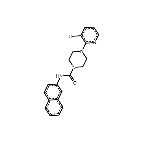 O=C(Nc1ccc2ccccc2c1)N1CCN(c2ncccc2Cl)CC1